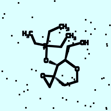 CC[Si](CC)(CC)O[C@@H]1[C@@H](CO)OCC[C@@]12CO2